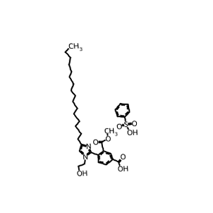 CCCCCCCCCCCCCCCCc1cn(CCO)c(-c2ccc(C(=O)O)cc2C(=O)OC)n1.O=S(=O)(O)c1ccccc1